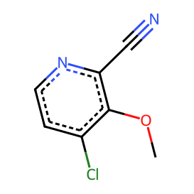 COc1c(Cl)ccnc1C#N